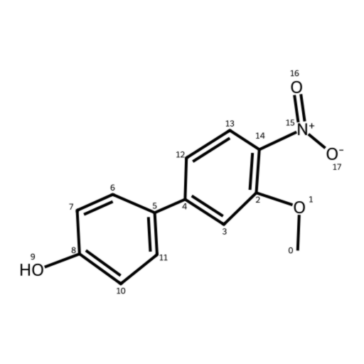 COc1cc(-c2ccc(O)cc2)ccc1[N+](=O)[O-]